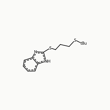 CC(C)(C)SCCCSc1nc2ccccc2[nH]1